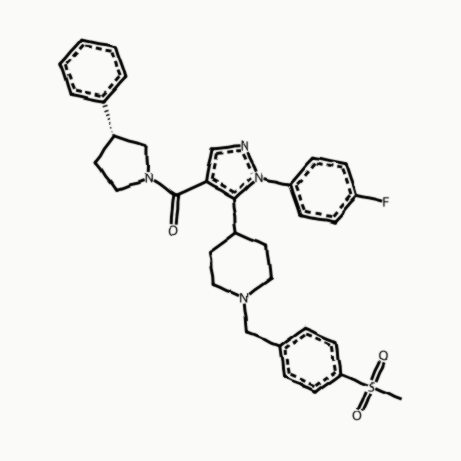 CS(=O)(=O)c1ccc(CN2CCC(c3c(C(=O)N4CC[C@H](c5ccccc5)C4)cnn3-c3ccc(F)cc3)CC2)cc1